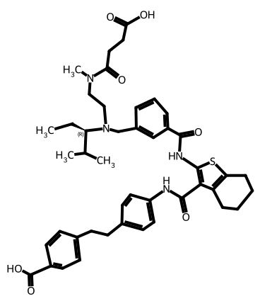 CC[C@H](C(C)C)N(CCN(C)C(=O)CCC(=O)O)Cc1cccc(C(=O)Nc2sc3c(c2C(=O)Nc2ccc(CCc4ccc(C(=O)O)cc4)cc2)CCCC3)c1